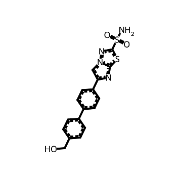 NS(=O)(=O)c1nn2cc(-c3ccc(-c4ccc(CO)cc4)cc3)nc2s1